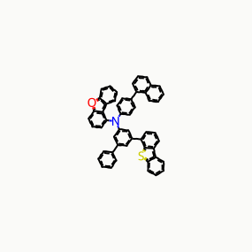 c1ccc(-c2cc(-c3cccc4c3sc3ccccc34)cc(N(c3ccc(-c4cccc5ccccc45)cc3)c3cccc4oc5ccccc5c34)c2)cc1